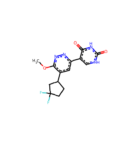 COc1nnc(-c2c[nH]c(=O)[nH]c2=O)cc1C1CCC(F)(F)C1